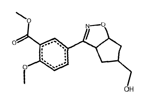 COC(=O)c1cc(C2=NOC3CC(CO)CC23)ccc1OC